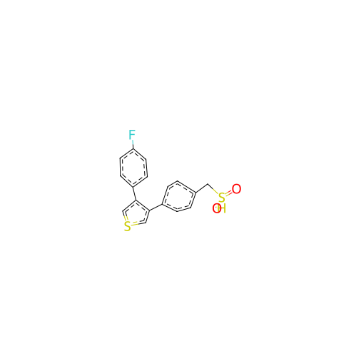 O=[SH](=O)Cc1ccc(-c2cscc2-c2ccc(F)cc2)cc1